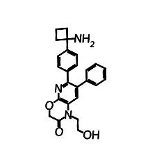 NC1(c2ccc(-c3nc4c(cc3-c3ccccc3)N(CCO)C(=O)CO4)cc2)CCC1